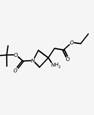 CCOC(=O)CC1(N)CN(C(=O)OC(C)(C)C)C1